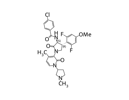 COc1cc(F)c([C@@H]2CN(c3c(C)ccn(C4CCN(C)C4)c3=O)C(=O)[C@H]2NC(=O)c2ccc(Cl)cc2)c(F)c1